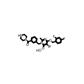 Cc1nc(OCc2ccc(F)cc2F)c(Br)c(=O)n1Cc1cccc(C(=O)N2CCNCC2)c1.Cl